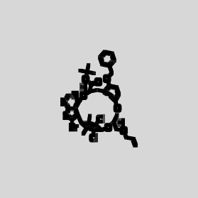 C=CCOC[C@@H]1COc2ccc(OCc3ccccc3)c(c2)C[C@H](C(=O)OC(C)(C)C)Oc2ncnc3sc(Br)c(c23)-c2c(C)c(Cl)c(c(Cl)c2C)O1